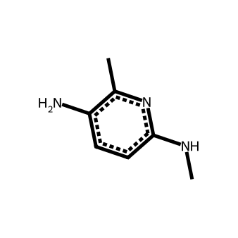 CNc1ccc(N)c(C)n1